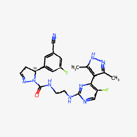 Cc1n[nH]c(C)c1-c1nc(NCCNC(=O)N2N=CC[C@H]2c2cc(F)cc(C#N)c2)ncc1F